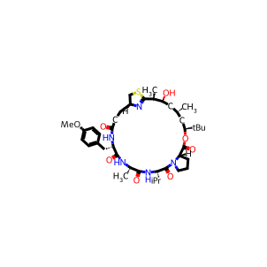 COc1ccc(C[C@@H]2NC(=O)CC[C@H]3CSC(=N3)[C@@H](C)[C@@H](O)C[C@H](C)C[C@@H](C(C)(C)C)OC(=O)[C@@H]3CCCN3C(=O)[C@H](C(C)C)NC(=O)[C@H](C)NC2=O)cc1